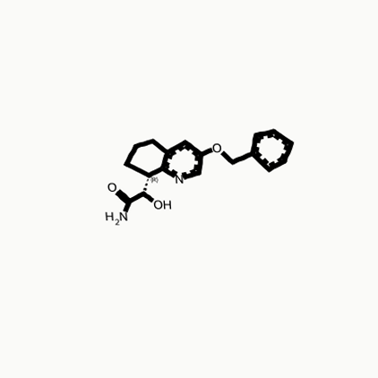 NC(=O)C(O)[C@@H]1CCCc2cc(OCc3ccccc3)cnc21